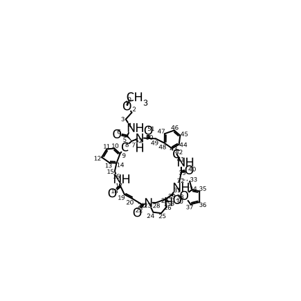 COCCNC(=O)[C@@H]1Cc2ccccc2CNC(=O)/C=C/C(=O)N2CCC[C@H](C2)C(=O)N[C@@H](Cc2ccco2)C(=O)NCc2ccccc2CC(=O)N1